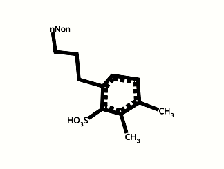 CCCCCCCCCCCCc1ccc(C)c(C)c1S(=O)(=O)O